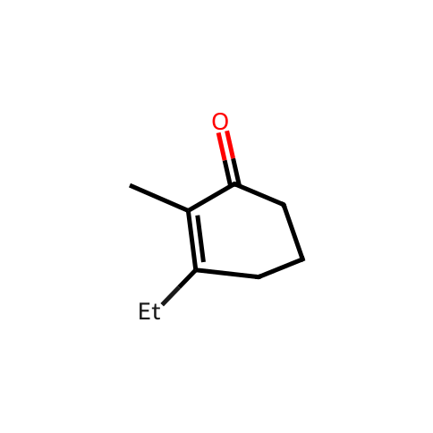 CCC1=C(C)C(=O)CCC1